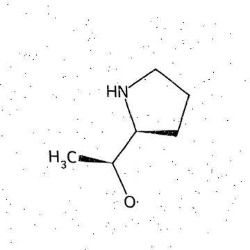 C[C@H]([O])[C@@H]1CCCN1